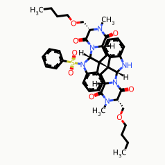 CCCCOC[C@H]1C(=O)N2[C@H]3Nc4ccccc4[C@@]3(C34C[C@H]5C(=O)N(C)[C@@H](COCCCC)C(=O)N5[C@H]3N(S(=O)(=O)c3ccccc3)c3ccccc34)C[C@H]2C(=O)N1C